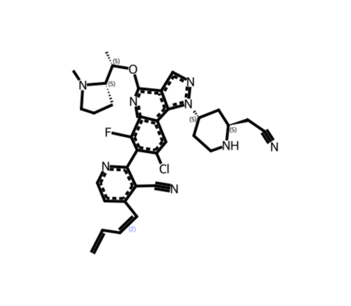 C=C/C=C\c1ccnc(-c2c(Cl)cc3c(nc(O[C@@H](C)[C@@H]4CCCN4C)c4cnn([C@H]5CCN[C@H](CC#N)C5)c43)c2F)c1C#N